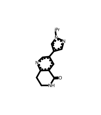 CC(C)n1cc(-c2cnc3c(c2)C(=O)NCC3)cn1